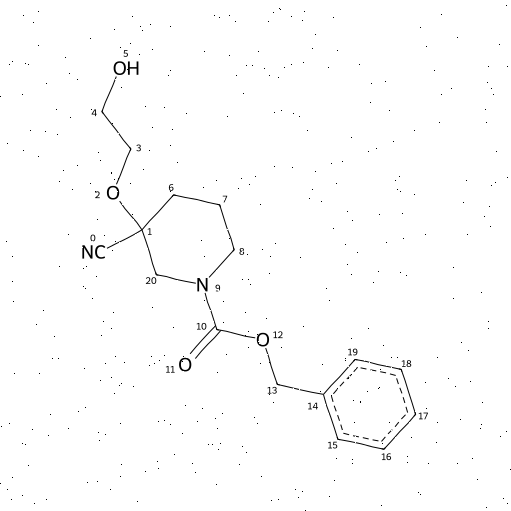 N#CC1(OCCO)CCCN(C(=O)OCc2ccccc2)C1